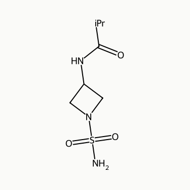 CC(C)C(=O)NC1CN(S(N)(=O)=O)C1